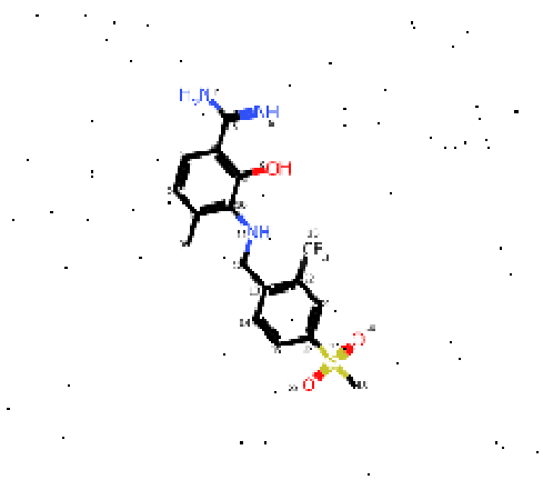 Cc1ccc(C(=N)N)c(O)c1NCc1ccc(S(C)(=O)=O)cc1C(F)(F)F